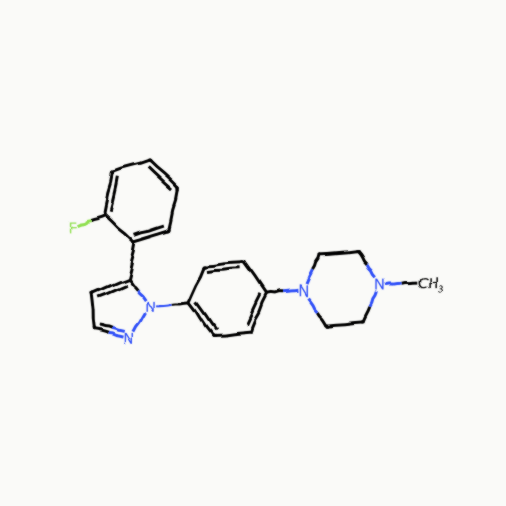 CN1CCN(c2ccc(-n3nccc3-c3ccccc3F)cc2)CC1